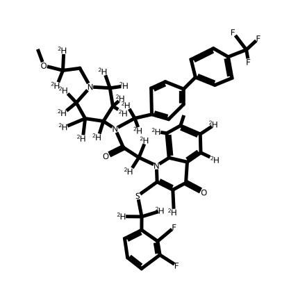 [2H]c1c(C)c([2H])c2c(c1[2H])c(=O)c([2H])c(SC([2H])([2H])c1cccc(F)c1F)n2C([2H])([2H])C(=O)N(C([2H])([2H])c1ccc(-c2ccc(C(F)(F)F)cc2)cc1)C1([2H])C([2H])([2H])C([2H])([2H])N(CC([2H])([2H])OC)C([2H])([2H])C1([2H])[2H]